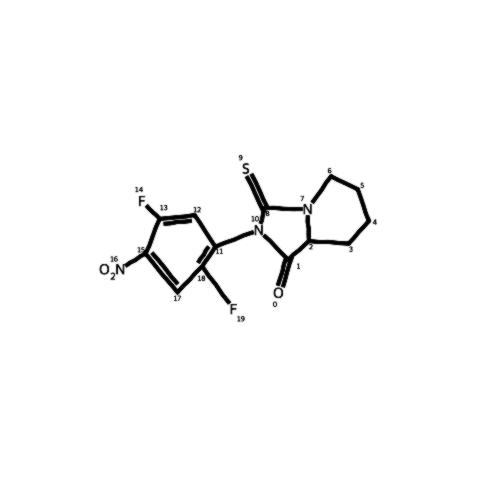 O=C1C2CCCCN2C(=S)N1c1cc(F)c([N+](=O)[O-])cc1F